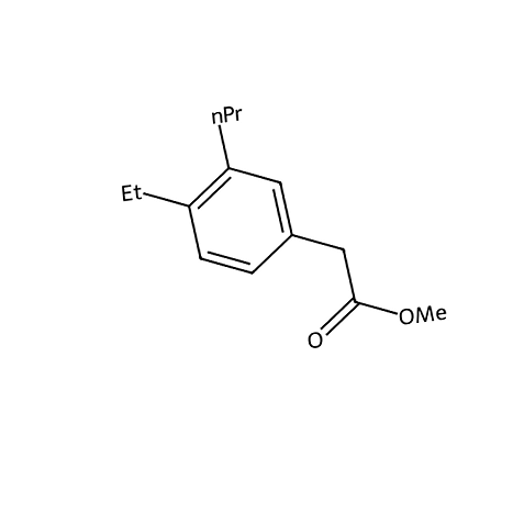 CCCc1cc(CC(=O)OC)ccc1CC